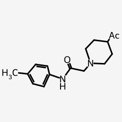 CC(=O)C1CCN(CC(=O)Nc2ccc(C)cc2)CC1